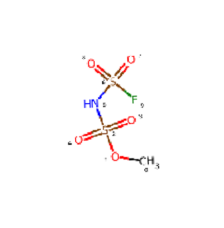 COS(=O)(=O)NS(=O)(=O)F